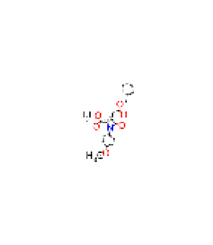 COC(=O)[C@H]1[C@@H](CC(=O)OCc2ccccc2)C(=O)N1c1ccc(OC)cc1